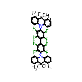 CC1(C)c2ccccc2N(c2c(F)c(F)c(-c3c(F)c(F)c(N4c5ccccc5C(C)(C)c5ccccc54)c(F)c3F)c(F)c2F)c2ccccc21